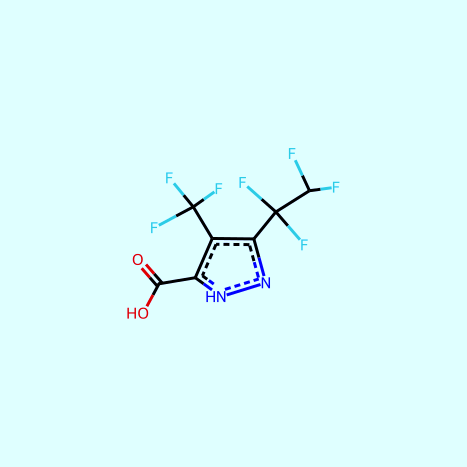 O=C(O)c1[nH]nc(C(F)(F)C(F)F)c1C(F)(F)F